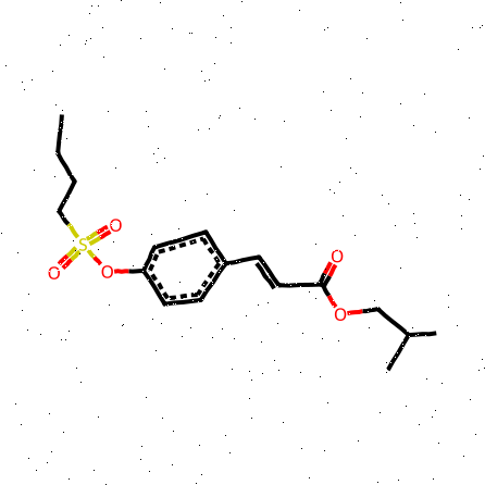 CCCCS(=O)(=O)Oc1ccc(C=CC(=O)OCC(C)C)cc1